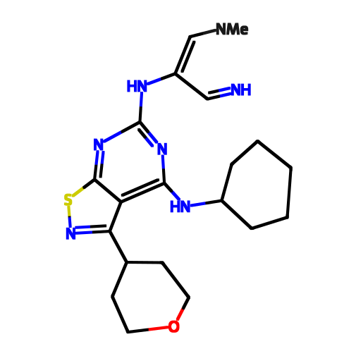 CN/C=C(\C=N)Nc1nc(NC2CCCCC2)c2c(C3CCOCC3)nsc2n1